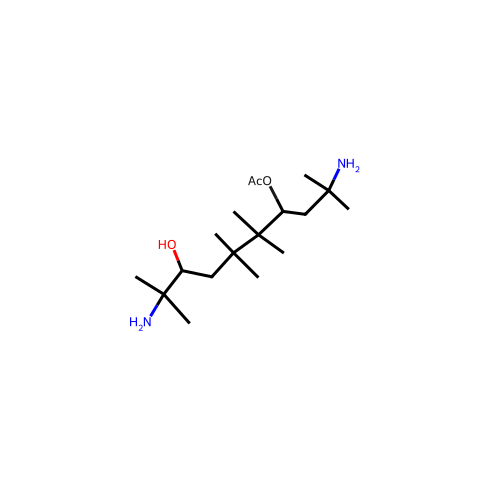 CC(=O)OC(CC(C)(C)N)C(C)(C)C(C)(C)CC(O)C(C)(C)N